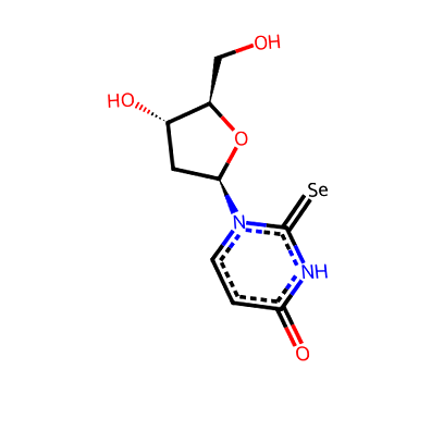 O=c1ccn([C@H]2C[C@H](O)[C@@H](CO)O2)c(=[Se])[nH]1